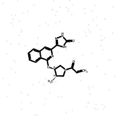 C=CC(=O)N1C[C@H](Oc2nc(-c3n[nH]c(=O)[nH]3)cc3ccccc23)[C@@H](C)C1